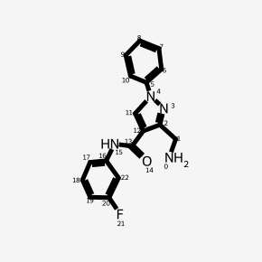 NCc1nn(-c2ccccc2)cc1C(=O)Nc1cccc(F)c1